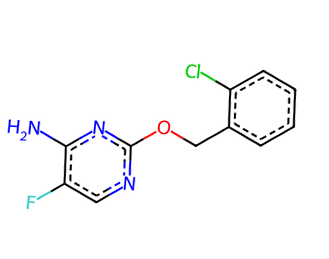 Nc1nc(OCc2ccccc2Cl)ncc1F